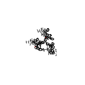 CCc1ccccc1C(ON)c1cc2ccc3c4ccccc4[nH]c3c2c(N=Nc2ccc(N(c3ccc(N=Nc4c(O)c(C(ON)c5ccccc5CC)cc5ccc6c7ccccc7[nH]c6c45)cc3)c3ccc(N=Nc4c(O)c(C(ON)c5ccccc5CC)cc5ccc6c7ccccc7[nH]c6c45)cc3)cc2)c1O